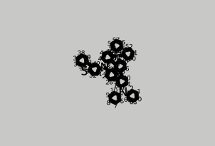 c1ccc(N(c2ccccc2)c2ccc(-c3ccc4c(c3)-c3c(N(c5ccccc5)c5ccc6sc7ccccc7c6c5)cccc3[Si]4(c3ccccc3)c3ccccc3)cc2)cc1